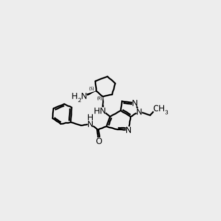 CCn1ncc2c(N[C@@H]3CCCC[C@@H]3N)c(C(=O)NCc3ccccc3)cnc21